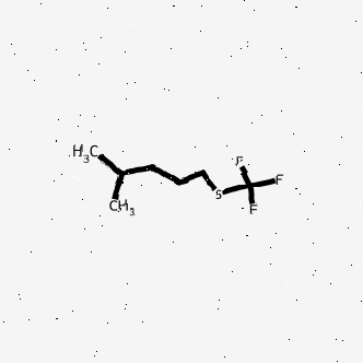 CC(C)CCCSC(F)(F)F